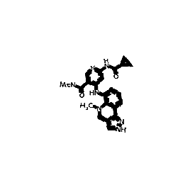 CNC(=O)c1cnc(NC(=O)C2CC2)cc1Nc1cccc2c1N(C)Cc1c[nH]nc1-2